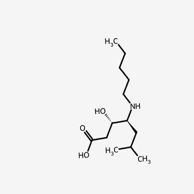 CCCCCN[C@@H](CC(C)C)[C@@H](O)CC(=O)O